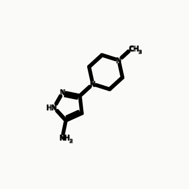 CN1CCN(c2cc(N)[nH]n2)CC1